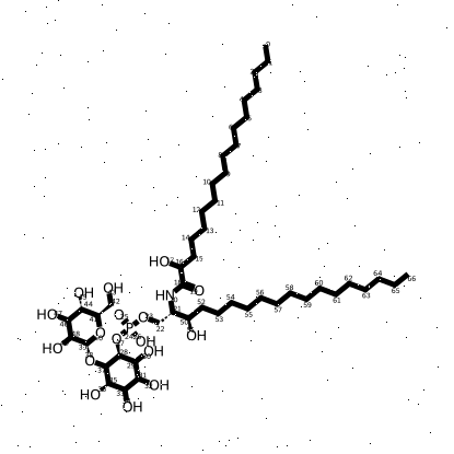 CCCCCCCCCCCCCCCCC(O)C(=O)N[C@@H](COP(=O)(O)O[C@H]1C(O)C(O)C(O)[C@@H](O)C1O[C@H]1O[C@H](CO)[C@@H](O)C(O)C1O)[C@H](O)CCCCCCCCCCCCCCC